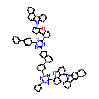 c1ccc(-c2ccc(-c3nc(-c4ccc5c(-c6cccc(-c7nc(-c8ccccc8)nc(-c8cccc9c8oc8cccc(-n%10c%11ccccc%11c%11cc%12ccccc%12cc%11%10)c89)n7)c6)cccc5c4)nc(-c4cccc5oc6c(-n7c8ccccc8c8c9ccccc9ccc87)cccc6c45)n3)cc2)cc1